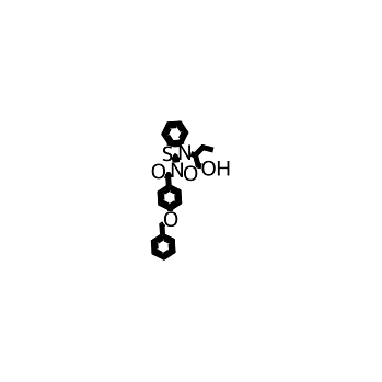 CCC(C(=O)O)n1c(=NC(=O)c2ccc(OCc3ccccc3)cc2)sc2ccccc21